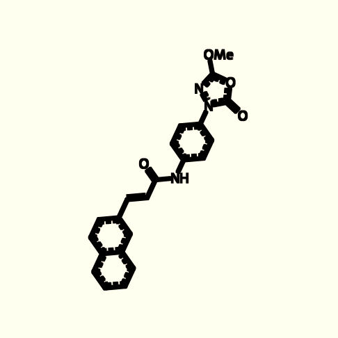 COc1nn(-c2ccc(NC(=O)C=Cc3ccc4ccccc4c3)cc2)c(=O)o1